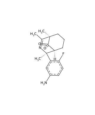 CC1=N[C@](C)(c2cc(N)ccc2F)[C@@H]2CCC[C@@]1(C)S2(=O)=O